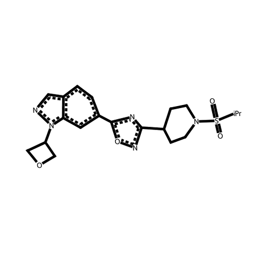 CC(C)S(=O)(=O)N1CCC(c2noc(-c3ccc4cnn(C5COC5)c4c3)n2)CC1